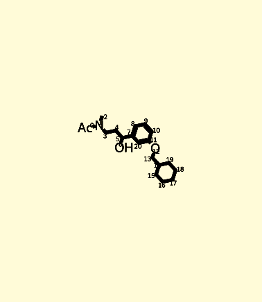 CC(=O)N(C)CCC(O)c1cccc(OCC2CCCCC2)c1